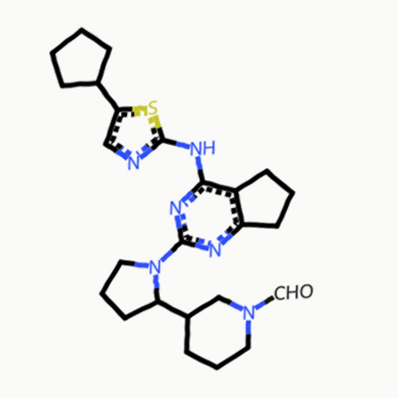 O=CN1CCCC(C2CCCN2c2nc3c(c(Nc4ncc(C5CCCC5)s4)n2)CCC3)C1